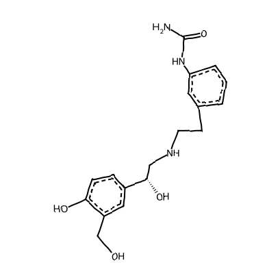 NC(=O)Nc1cccc(CCNC[C@H](O)c2ccc(O)c(CO)c2)c1